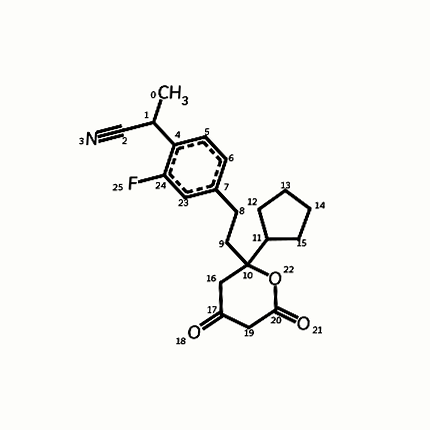 CC(C#N)c1ccc(CCC2(C3CCCC3)CC(=O)CC(=O)O2)cc1F